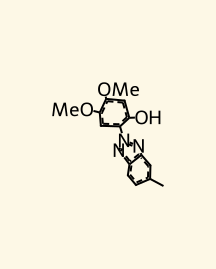 COc1cc(O)c(-n2nc3ccc(C)cc3n2)cc1OC